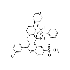 CS(=O)(=O)c1ccc2nc(-c3cccc(Br)c3)c(CN3CCC(N4CCOCC4)CC3)c(C(=O)N[C@H](c3ccccc3)C(F)(F)F)c2c1